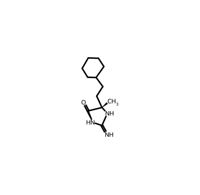 C[C@@]1(CCC2CCCCC2)NC(=N)NC1=O